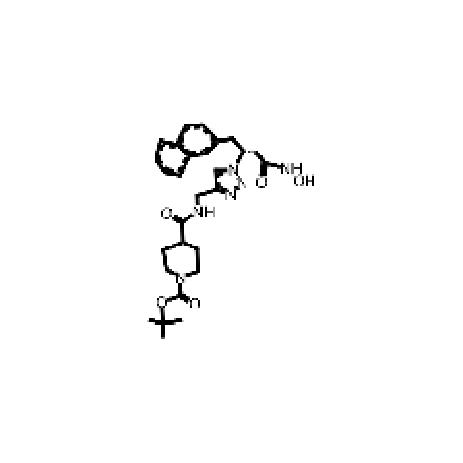 CC(C)(C)OC(=O)N1CCC(C(=O)NCc2cn([C@@H](CC(=O)NO)Cc3ccc4ccccc4c3)nn2)CC1